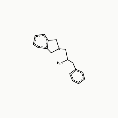 NC(Cc1ccccc1)CN1Cc2ccccc2C1